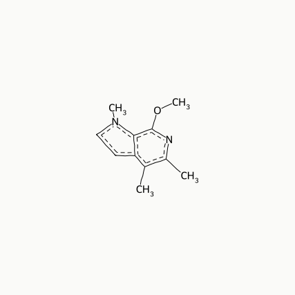 COc1nc(C)c(C)c2ccn(C)c12